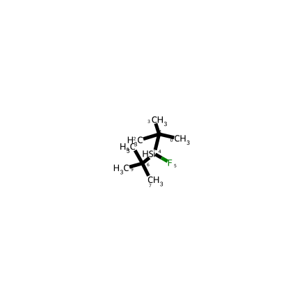 CC(C)(C)[SiH](F)C(C)(C)C